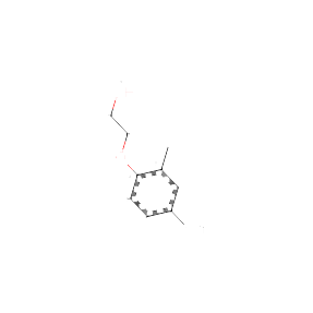 CCCc1ccc(OCCO)c(C)c1